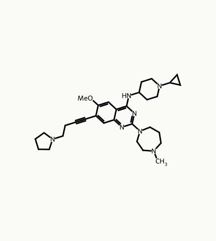 COc1cc2c(NC3CCN(C4CC4)CC3)nc(N3CCCN(C)CC3)nc2cc1C#CCCN1CCCC1